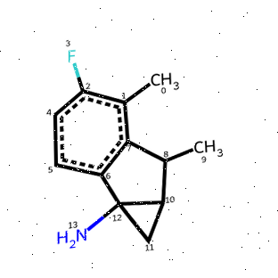 Cc1c(F)ccc2c1C(C)C1CC21N